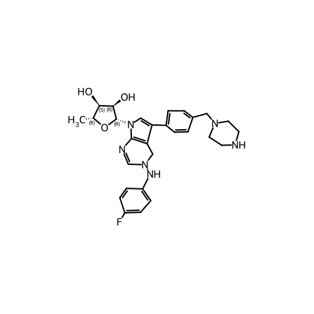 C[C@H]1O[C@@H](n2cc(-c3ccc(CN4CCNCC4)cc3)c3c2N=CN(Nc2ccc(F)cc2)C3)[C@H](O)[C@@H]1O